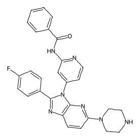 O=C(Nc1cc(-n2c(-c3ccc(F)cc3)nc3ccc(N4CCNCC4)nc32)ccn1)c1ccccc1